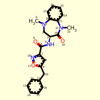 CN1C[C@H](NC(=O)c2cc(Cc3ccccc3)on2)C(=O)N(C)c2ccccc21